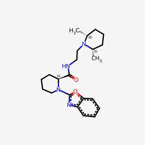 C[C@@H]1CCC[C@H](C)N1CCNC(=O)[C@@H]1CCCCN1c1nc2ccccc2o1